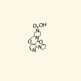 O=C(O)N1CCN2C(=O)c3c(ccnc3N3C=CCC3)OCC2C1